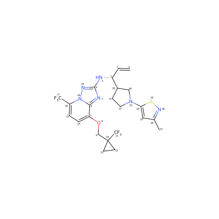 C=C[C@@H](Nc1nc2c(OCC3(C(F)(F)F)CC3)ccc(C(F)(F)F)n2n1)C1CCN(c2cc(C)ns2)C1